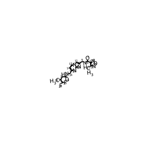 Cc1nonc1C(=O)NCc1cn2ccc(CNC(=O)CC(C)C(F)F)nc2n1